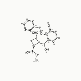 CC(C)(C)OC(=O)N1CC(C=O)C1C(O)c1occc(=O)c1OCc1ccccc1